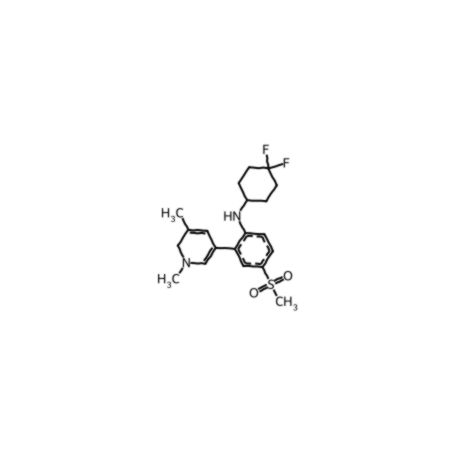 CC1=CC(c2cc(S(C)(=O)=O)ccc2NC2CCC(F)(F)CC2)=CN(C)C1